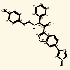 Cn1cnc(-c2ccc3c(C(=O)[C@@H](NCCc4ccc(Cl)cc4)c4ccccc4)c[nH]c3c2)c1